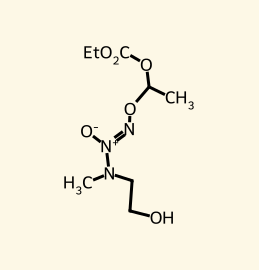 CCOC(=O)OC(C)ON=[N+]([O-])N(C)CCO